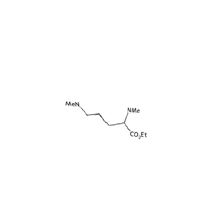 CCOC(=O)C(CCCNC)NC